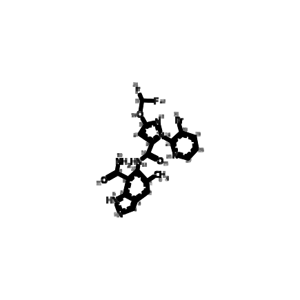 Cc1cc2cn[nH]c2c(C(N)=O)c1NC(=O)c1cc(OC(F)F)nn1-c1ncccc1Br